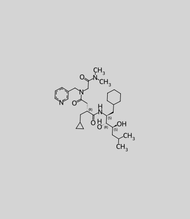 CC(C)C[C@H](O)[C@H](O)[C@H](CC1CCCCC1)NC(=O)[C@@H](CC(=O)N(CC(=O)N(C)C)Cc1cccnc1)CC1CC1